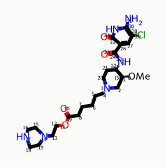 CO[C@H]1CN(CCCCCC(=O)OCCN2CCNCC2)CC[C@H]1NC(=O)c1cc(Cl)c(N)[nH]c1=O